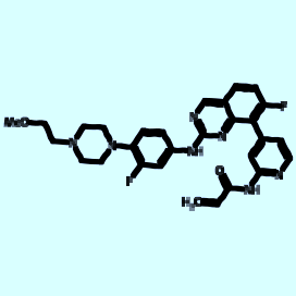 C=CC(=O)Nc1cc(-c2c(F)ccc3cnc(Nc4ccc(N5CCN(CCOC)CC5)c(F)c4)nc23)ccn1